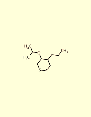 CCCC1CSSCC1OC(C)C